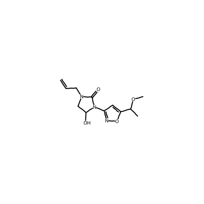 C=CCN1CC(O)N(c2cc(C(C)OC)on2)C1=O